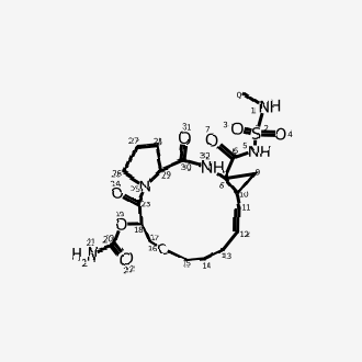 CNS(=O)(=O)NC(=O)C12CC1/C=C\CCCCCC(OC(N)=O)C(=O)N1CCCC1C(=O)N2